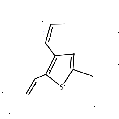 C=Cc1sc(C)cc1/C=C\C